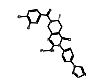 CC(C)Nc1nc2c(c(=O)n1-c1ccc(-n3cnnn3)cc1)C[C@@H](C)N(C(=O)c1ccc(Cl)c(Cl)c1)C2